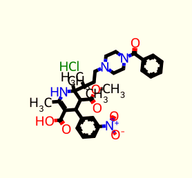 COC(=O)C1C(c2cccc([N+](=O)[O-])c2)C(C(=O)O)=C(C)NC1(C)C(C)(C)CCN1CCN(C(=O)c2ccccc2)CC1.Cl